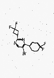 FC1(F)CCC(c2nc(C3CC(F)(F)C3)ncc2Br)CC1